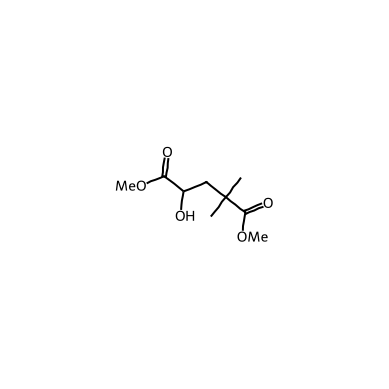 COC(=O)C(O)CC(C)(C)C(=O)OC